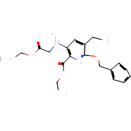 CCOC(=O)CN(C)c1cc(CC)c(OCc2ccccc2)nc1C(=O)OCC